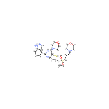 CNC(c1cc2nc(-c3cccc4[nH]ncc34)nc(N3CCOCC3)c2s1)S(=O)(=O)CCCN1CCOCC1